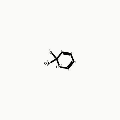 O=[N+]([O-])C1([S])C=CC=CN1